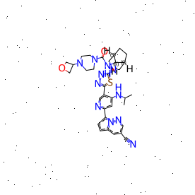 CC(C)Nc1cc(-c2ccc3cc(C#N)cnn23)ncc1-c1nnc(N2C[C@H]3CC[C@@H](C2)[C@H]3NC(=O)N2CCN(C3COC3)CC2)s1